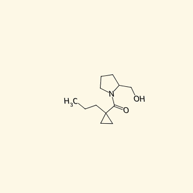 CCCC1(C(=O)N2CCCC2CO)CC1